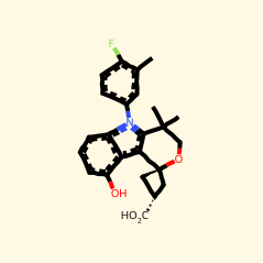 Cc1cc(-n2c3c(c4c(O)cccc42)[C@]2(C[C@@H](C(=O)O)C2)OCC3(C)C)ccc1F